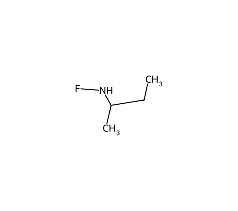 CCC(C)NF